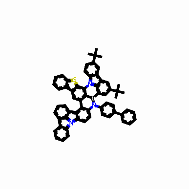 CC(C)(C)c1ccc2c(c1)c1cc(C(C)(C)C)cc3c1n2-c1c2c(cc4c1sc1ccccc14)-c1c(ccc4c1c1cccc5c6ccccc6n4c51)N(c1ccc(-c4ccccc4)cc1)B23